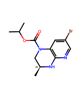 CC(C)OC(=O)N1C[C@H](C)Nc2ncc(Br)cc21